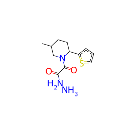 CC1CCC(c2cccs2)N(C(=O)C(N)=O)C1.N